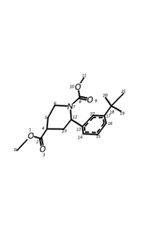 COC(=O)C1CCN(C(=O)OC)C(c2cccc(C(C)(C)C)c2)C1